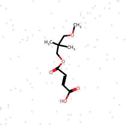 COCC(C)(C)COC(=O)C=CC(=O)O